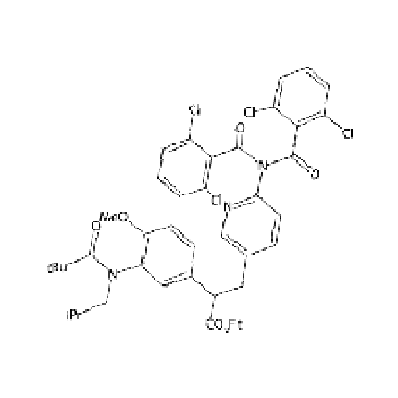 CCOC(=O)C(Cc1ccc(N(C(=O)c2c(Cl)cccc2Cl)C(=O)c2c(Cl)cccc2Cl)nc1)c1ccc(OC)c(N(CC(C)C)C(=O)C(C)(C)C)c1